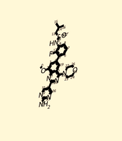 COc1cc(-c2cccc(N[S+]([O-])CC(C)C)c2F)cc2c(N3CCOCC3)nc(-c3cnc(N)nc3)nc12